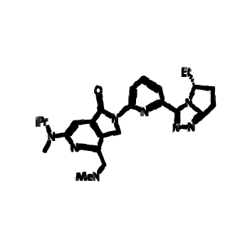 CC[C@@H]1CCc2nnc(-c3cccc(N4Cc5c(cc(N(C)C(C)C)nc5CNC)C4=O)n3)n21